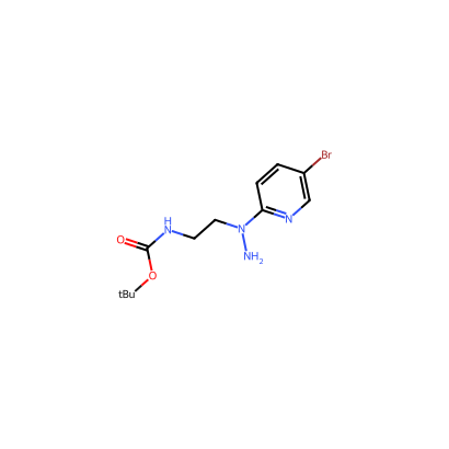 CC(C)(C)OC(=O)NCCN(N)c1ccc(Br)cn1